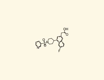 O=C(O)Cc1cc(C2CCN(S(=O)(=O)c3cccnc3)CC2)c2cc(F)ccc2c1